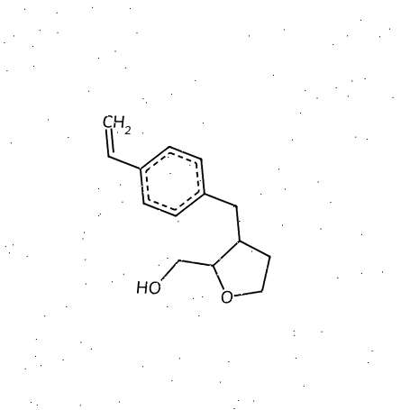 C=Cc1ccc(CC2CCOC2CO)cc1